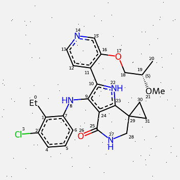 CCc1c(Cl)cccc1Nc1c(-c2ccncc2OC[C@H](C)OC)[nH]c2c1C(=O)NCC21CC1